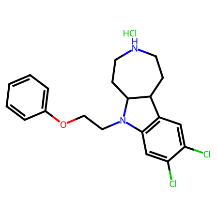 Cl.Clc1cc2c(cc1Cl)N(CCOc1ccccc1)C1CCNCCC21